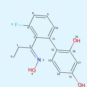 CCC(=NO)c1c(F)cccc1-c1ccc(O)cc1O